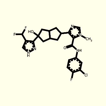 Cn1cnc(C2CC3CC(O)(c4n[nH]cc4C(F)F)CC3C2)c1C(=O)Nc1ccc(F)c(Cl)c1